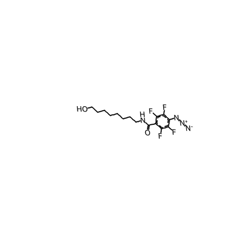 [N-]=[N+]=Nc1c(F)c(F)c(C(=O)NCCCCCCCCO)c(F)c1F